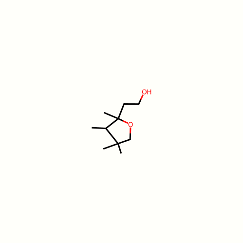 CC1C(C)(C)COC1(C)CCO